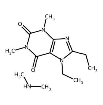 CCc1nc2c(c(=O)n(C)c(=O)n2C)n1CC.CNC